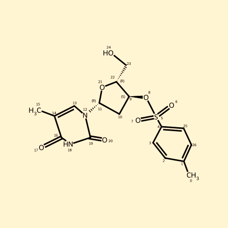 Cc1ccc(S(=O)(=O)O[C@H]2C[C@H](n3cc(C)c(=O)[nH]c3=O)O[C@@H]2CO)cc1